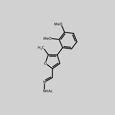 COc1cccc(-c2cc(C=NNC(C)=O)oc2C)c1OC